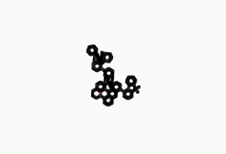 CC1(C)c2ccccc2-c2c(-c3ccc(N(c4cccc(-c5cccc6c5c5ccccc5n6-c5ccccc5)c4)c4ccccc4-c4cccc5cccc(C6CCCCC6)c45)cc3)cccc21